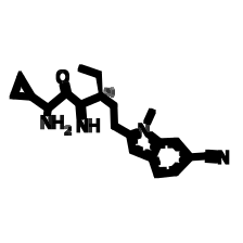 CC[C@@H](CCc1cc2ccc(C#N)cc2n1C)C(=N)C(=O)C(N)C1CC1